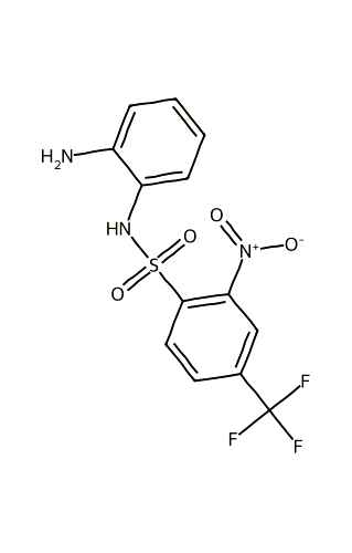 Nc1ccccc1NS(=O)(=O)c1ccc(C(F)(F)F)cc1[N+](=O)[O-]